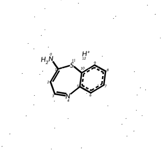 NC1=CC=Nc2ccccc2S1.[H+]